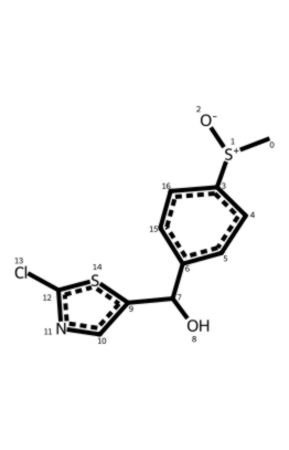 C[S+]([O-])c1ccc(C(O)c2cnc(Cl)s2)cc1